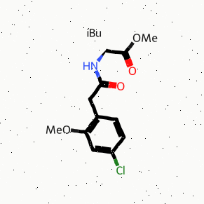 CC[C@H](C)[C@H](NC(=O)Cc1ccc(Cl)cc1OC)C(=O)OC